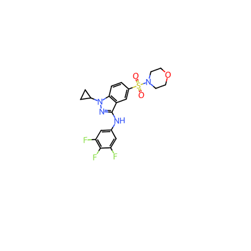 O=S(=O)(c1ccc2c(c1)c(Nc1cc(F)c(F)c(F)c1)nn2C1CC1)N1CCOCC1